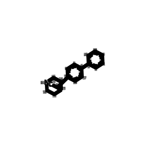 c1ccc(-c2ccc(C3CN4CCC3CC4)cc2)cc1